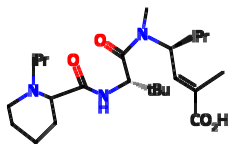 C/C(=C\[C@H](C(C)C)N(C)C(=O)[C@@H](NC(=O)C1CCCCN1C(C)C)C(C)(C)C)C(=O)O